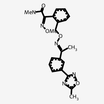 CNC(=O)/C(=N/OC)c1ccccc1CO/N=C(\C)c1cccc(-c2noc(C)n2)c1